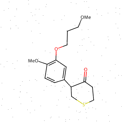 COCCCOc1cc(C2CSCCC2=O)ccc1OC